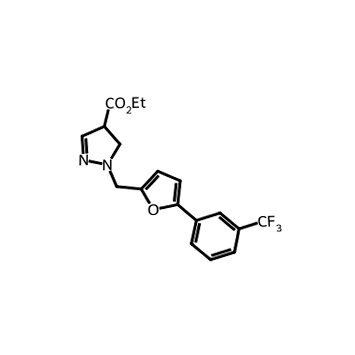 CCOC(=O)C1C=NN(Cc2ccc(-c3cccc(C(F)(F)F)c3)o2)C1